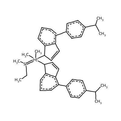 CC[Si](C)=[Hf]([CH3])([CH3])([CH]1C=Cc2c(-c3ccc(C(C)C)cc3)cccc21)[CH]1C=Cc2c(-c3ccc(C(C)C)cc3)cccc21